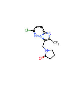 O=C1CCCN1Cc1c(C(F)(F)F)nc2ccc(Cl)nn12